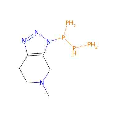 CN1CCc2nnn(P(P)PP)c2C1